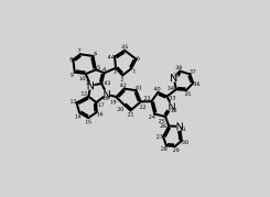 c1ccc(-c2c3ccccc3n3c4ccccc4n(-c4ccc(-c5cc(-c6ccccn6)nc(-c6ccccn6)c5)cc4)c23)cc1